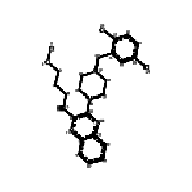 CCOCCCNc1nc2ccccc2nc1N1CCN(Cc2cc(Cl)ccc2Cl)CC1